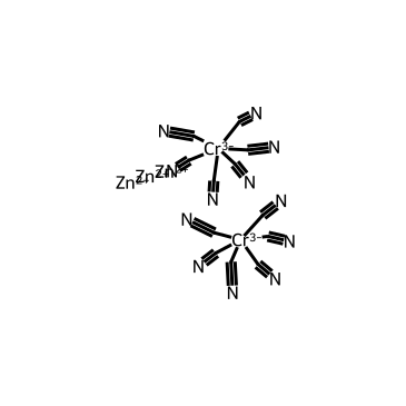 N#[C][Cr-3]([C]#N)([C]#N)([C]#N)([C]#N)[C]#N.N#[C][Cr-3]([C]#N)([C]#N)([C]#N)([C]#N)[C]#N.[Zn+2].[Zn+2].[Zn+2]